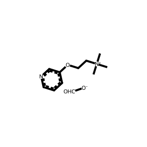 C[N+](C)(C)CCOc1cccnc1.O=C[O-]